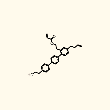 C=CCCc1ccc(-c2ccc(-c3ccc(CCO)cc3)cc2)c(CCOC(=O)C=C)c1